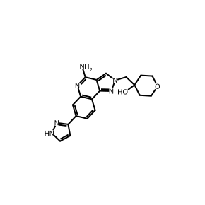 Nc1nc2cc(-c3cc[nH]n3)ccc2c2nn(CC3(O)CCOCC3)cc12